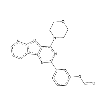 O=COc1cccc(-c2nc(N3CCOCC3)c3oc4ncccc4c3n2)c1